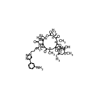 CC[C@H]1OC(=O)[C@@](C)(F)C(=O)[C@H](C)[C@@H](O[C@@H]2O[C@H](C)C[C@H](C)[C@H]2O)[C@@](C)(OC)C[C@@H](C)C(=O)[C@H](C)[C@H]2N(CCCCn3cc(-c4cccc(N)c4)nn3)C(=O)O[C@]12C